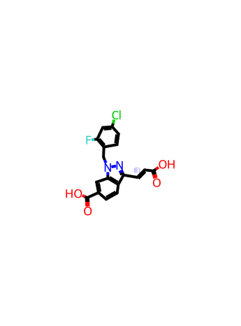 O=C(O)/C=C/c1nn(Cc2ccc(Cl)cc2F)c2cc(C(=O)O)ccc12